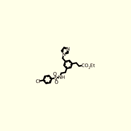 CCOC(=O)CCc1cc(CCNS(=O)(=O)c2ccc(Cl)cc2)cc(Cn2ccnc2)c1